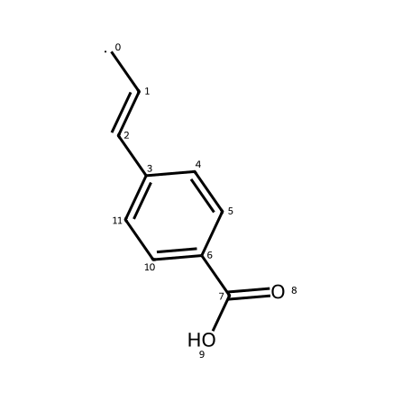 [CH2]/C=C/c1ccc(C(=O)O)cc1